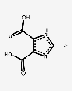 O=C(O)c1nc[nH]c1C(=O)O.[La]